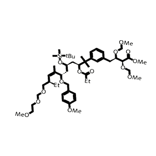 CCC(=O)O[C@@H](C[C@@H](C[C@H](OCc1ccc(OC)cc1)/C(C)=C\[C@@H](CC)COCOCCOC)O[Si](C)(C)C(C)(C)C)C(C)(C)c1cccc(C[C@@H](OCOC)[C@H](OCOC)C(=O)OC)c1